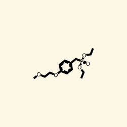 CCOP(=O)(Cc1ccc(OCCOC)cc1)OCC